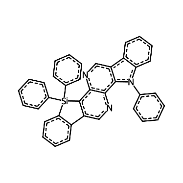 c1ccc(-n2c3ccccc3c3cnc4c5c(cnc4c32)-c2ccccc2[Si]5(c2ccccc2)c2ccccc2)cc1